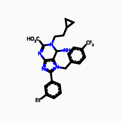 CCc1cccc(-c2nc3c(n2Cc2ccc(C(F)(F)F)cc2)C(N)N(CCC2CC2)C(C(=O)O)=N3)c1